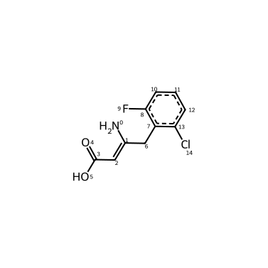 NC(=CC(=O)O)Cc1c(F)cccc1Cl